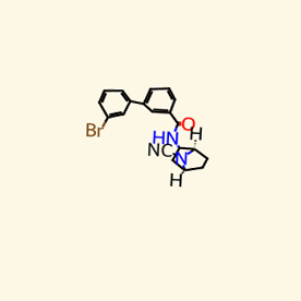 N#CN1[C@H]2CC[C@@H]1[C@H](NC(=O)c1cccc(-c3cccc(Br)c3)c1)C2